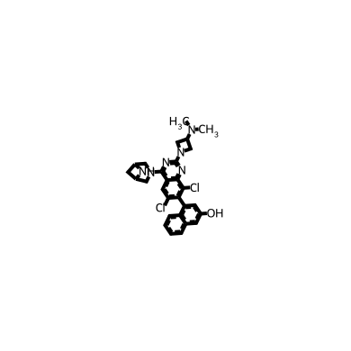 CN(C)C1CN(c2nc(N3CC4CC(C3)N4)c3cc(Cl)c(-c4cc(O)cc5ccccc45)c(Cl)c3n2)C1